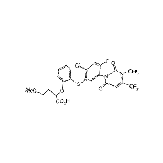 COCCC(Oc1ccccc1Sc1cc(-n2c(=O)cc(C(F)(F)F)n(C)c2=O)c(F)cc1Cl)C(=O)O